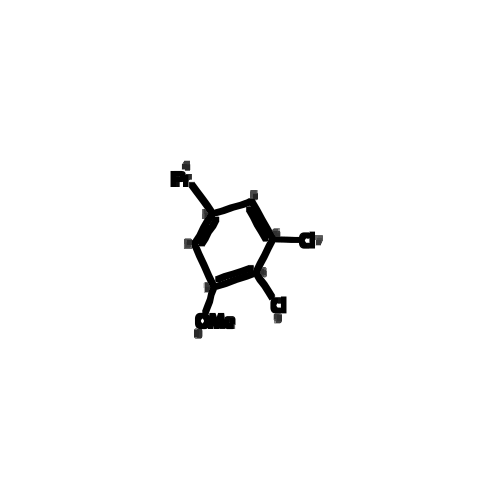 COc1cc(C(C)C)cc(Cl)c1Cl